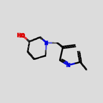 C=C(/C=N\C(=C)C)CN1CCCC(O)C1